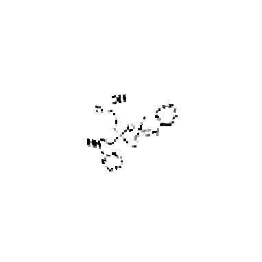 CC(CCC(=O)O)(OP(=O)(O)Cc1ccccc1)c1c[nH]c2ccccc12